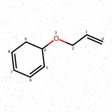 C=CCOC1C=CC=CC1